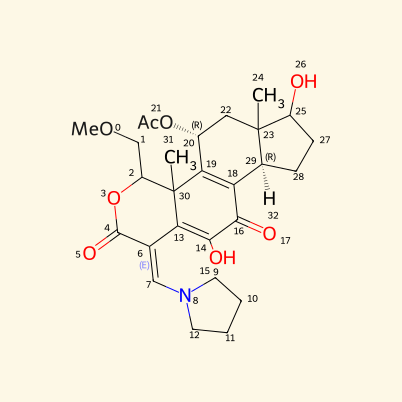 COCC1OC(=O)/C(=C/N2CCCC2)C2=C(O)C(=O)C3=C([C@H](OC(C)=O)CC4(C)C(O)CC[C@@H]34)C21C